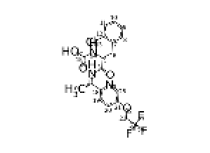 C[C@@H](NC(=O)C(Cc1ccccc1Cl)NC(=O)O)c1ccc(OCC(F)(F)F)cn1